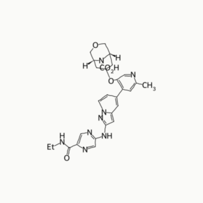 CCNC(=O)c1cnc(Nc2cc3cc(-c4cc(C)ncc4OC4C[C@H]5COC[C@@H](C4)N5C(=O)O)ccn3n2)cn1